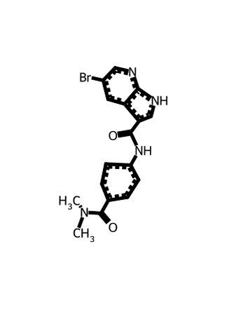 CN(C)C(=O)c1ccc(NC(=O)c2c[nH]c3ncc(Br)cc23)cc1